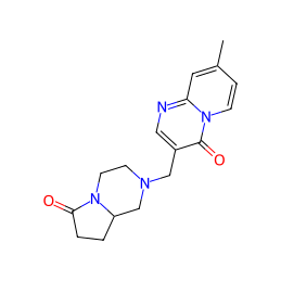 Cc1ccn2c(=O)c(CN3CCN4C(=O)CCC4C3)cnc2c1